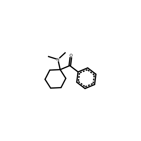 CN(C)C1(C(=O)c2ccccc2)CCCCC1